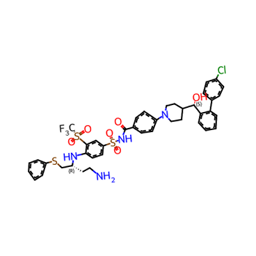 NCC[C@H](CSc1ccccc1)Nc1ccc(S(=O)(=O)NC(=O)c2ccc(N3CCC([C@H](O)c4ccccc4-c4ccc(Cl)cc4)CC3)cc2)cc1S(=O)(=O)C(F)(F)F